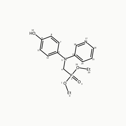 CCOP(=O)(CN(c1ccc(O)cc1)c1cccnc1)OCC